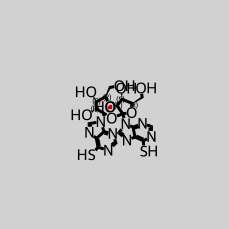 OC[C@H]1OC(OC2(n3cnc4c(S)ncnc43)O[C@H](CO)[C@@H](O)[C@H]2O)(n2cnc3c(S)ncnc32)[C@H](O)[C@@H]1O